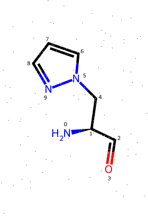 N[C@H](C=O)Cn1cccn1